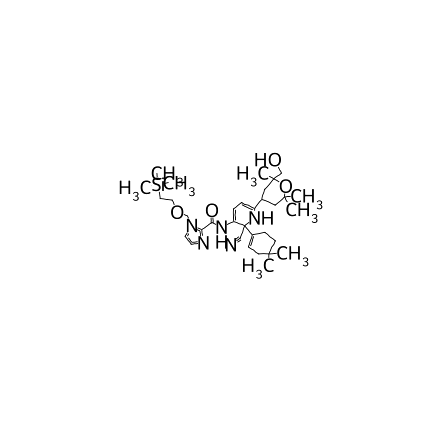 CC1(C)CC=C(C2(C#N)NC(C3CC(C)(C)OC(C)(CO)C3)=CC=C2NC(=O)c2nccn2COCC[Si](C)(C)C)CC1